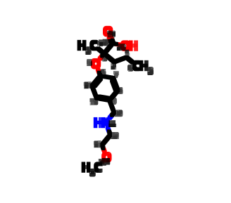 CCCC(C)(Oc1ccc(CNCCOC)cc1)C(=O)O